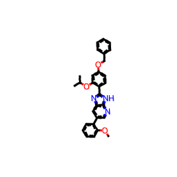 COc1ccccc1-c1cnc2[nH]c(-c3ccc(OCc4ccccc4)cc3OC(C)C)nc2c1